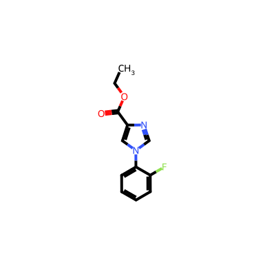 CCOC(=O)c1cn(-c2ccccc2F)cn1